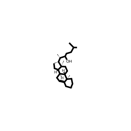 CC(C)CCC(O)[C@@H](C)[C@H]1CC[C@H]2[C@@H]3CC=C4C[CH]CC[C@]4(C)[C@H]3CC[C@]12C